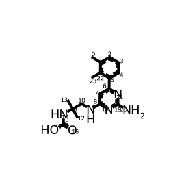 Cc1cccc(-c2cc(NCC(C)(C)NC(=O)O)nc(N)n2)c1C